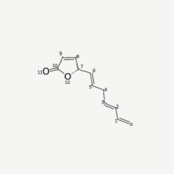 C=C/C=C/C/C=C/C1C=CC(=O)O1